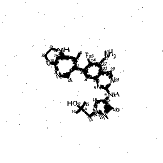 Cc1c(-c2cc3nc(Nc4cnn(CC(C)(C)O)c4)ncc3c(N)c2F)cnc2c1NCCO2